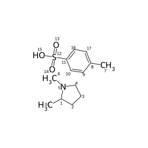 CC1CCCN1C.Cc1ccc(S(=O)(=O)O)cc1